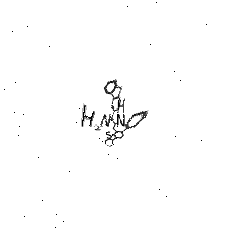 NC(C1=CC2=C(CC1)Cc1ccccc12)C1Cc2c(ccc3c4c(sc23)=CCCC=4)-c2ccccc2N1